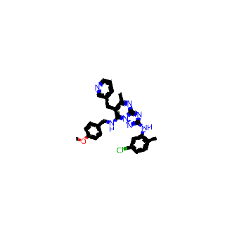 COc1ccc(CNc2c(Cc3cccnc3)c(C)nc3nc(Nc4cc(Cl)ccc4C)nn23)cc1